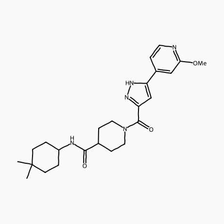 COc1cc(-c2cc(C(=O)N3CCC(C(=O)NC4CCC(C)(C)CC4)CC3)n[nH]2)ccn1